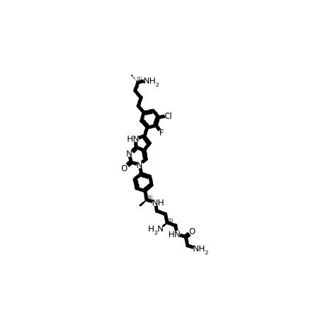 C[C@H](N)CCCc1cc(Cl)c(F)c(-c2cc3cn(-c4ccc([C@H](C)NCC[C@H](N)CNC(=O)CN)cc4)c(=O)nc3[nH]2)c1